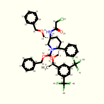 C[C@@H](OC[C@@]1(c2ccccc2)CC[C@](COCc2ccccc2)(NC(=O)CCl)CN1C(=O)OCc1ccccc1)c1cc(C(F)(F)F)cc(C(F)(F)F)c1